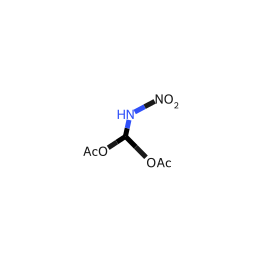 CC(=O)OC(N[N+](=O)[O-])OC(C)=O